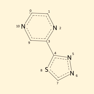 [c]1cnc(-c2nncs2)cn1